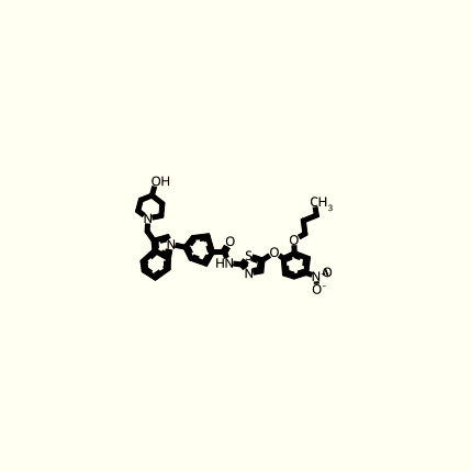 CCCCOc1cc([N+](=O)[O-])ccc1Oc1cnc(NC(=O)c2ccc(-n3cc(CN4CCC(O)CC4)c4ccccc43)cc2)s1